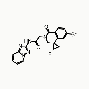 O=C(CN1C[C@]2(C[C@@H]2F)c2cc(Br)ccc2C1=O)Nc1nc2ccccn2n1